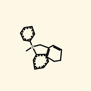 CS(CC1=CCCC=C1)(c1ccccc1)c1ccccc1